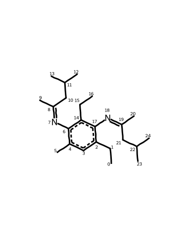 CCc1cc(C)c(N=C(C)CC(C)C)c(CC)c1N=C(C)CC(C)C